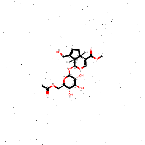 COC(=O)C1=CO[C@@H](O[C@@H]2O[C@H](COC(C)=O)[C@@H](O)[C@H](O)[C@H]2O)[C@@H]2C(CO)=CC[C@H]12